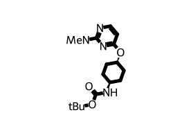 CNc1nccc(O[C@H]2CC[C@H](NC(=O)OC(C)(C)C)CC2)n1